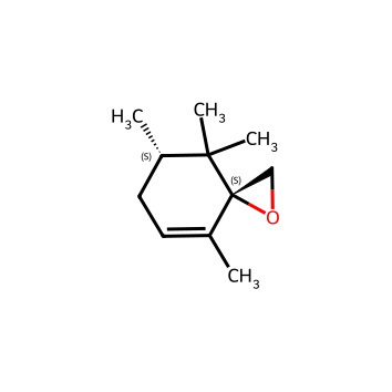 CC1=CC[C@H](C)C(C)(C)[C@@]12CO2